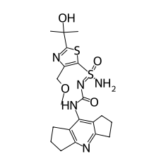 COCc1nc(C(C)(C)O)sc1[S@@](N)(=O)=NC(=O)Nc1c2c(nc3c1CCC3)CCC2